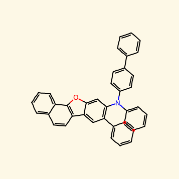 c1ccc(-c2ccc(N(c3ccccc3)c3cc4oc5c6ccccc6ccc5c4cc3-c3ccccc3)cc2)cc1